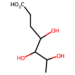 CC(O)C(O)C(O)CCC(=O)O